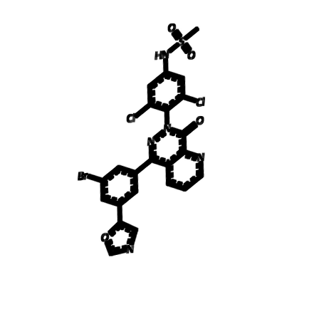 CS(=O)(=O)Nc1cc(Cl)c(-n2nc(-c3cc(Br)cc(-c4cnco4)c3)c3cccnc3c2=O)c(Cl)c1